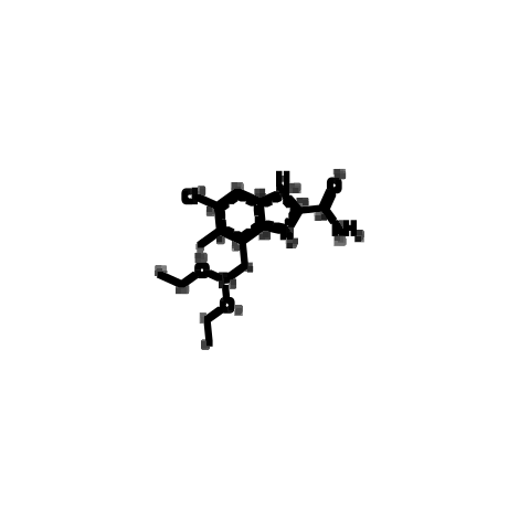 CCOP(Cc1c(C)c(Cl)cc2[nH]c(C(N)=O)nc12)OCC